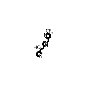 OC(Cc1ccn(Cc2ccc(C(F)(F)F)nc2)n1)c1cccnc1